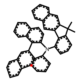 CC1(C)c2cc3ccccc3cc2-c2c(N(c3ccccc3)c3ccc4ccccc4c3-c3ccc4ccccc4c3)cccc21